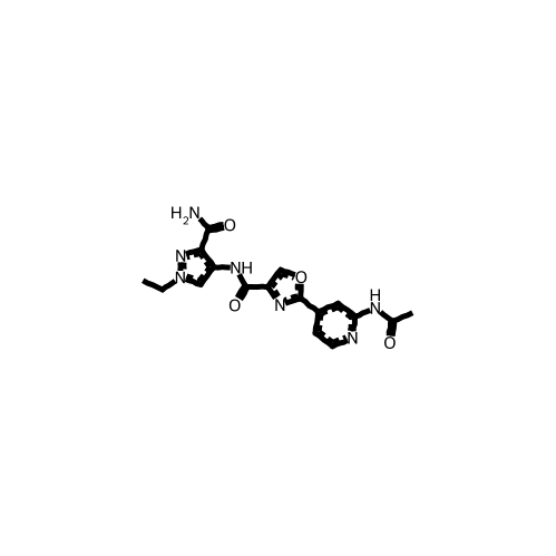 CCn1cc(NC(=O)c2coc(-c3ccnc(NC(C)=O)c3)n2)c(C(N)=O)n1